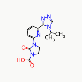 CC(C)n1cnnc1-c1cccc(N2CCN(C(=O)O)C2=O)n1